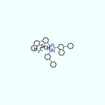 C[Si]1(C)c2c(-c3nc(-c4cccc(-c5ccccc5)c4)nc(-c4ccc(-c5ccccc5)c5ccccc45)n3)cccc2-c2ccc3ccccc3c21